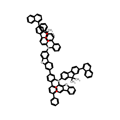 CC1(C)c2cc(-c3cccc4ccccc34)ccc2-c2ccc(N(c3ccc4oc5cc(-c6ccc(-c7ccc(-c8ccccc8)cc7)c(N(c7ccc8c(c7)C(C)(C)c7cc(-c9cccc%10ccccc9%10)ccc7-8)c7cccc8c7oc7ccccc78)c6)ccc5c4c3)c3ccccc3-c3ccc(-c4ccccc4)cc3)cc21